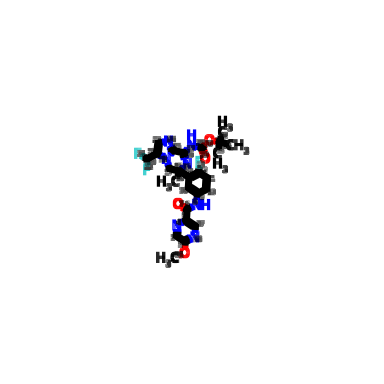 COc1cnc(C(=O)Nc2ccc(F)c(C3(C)Cn4c(C(F)F)cnc4C(NC(=O)OC(C)(C)C)=N3)c2)cn1